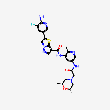 Cc1ncc(NC(=O)CN2C[C@H](C)O[C@@H](C)C2)cc1NC(=O)c1cnn2cc(-c3cnc(N)c(F)c3)sc12